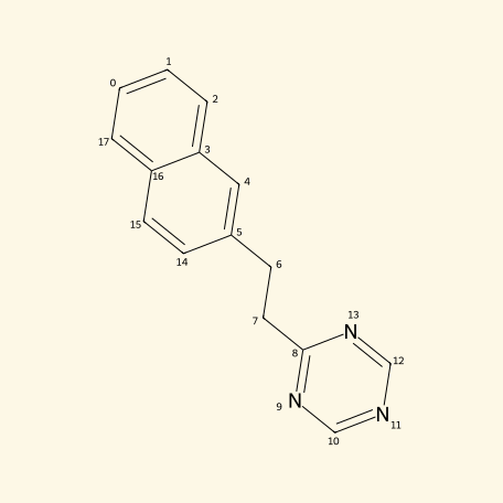 c1ccc2cc(CCc3ncncn3)ccc2c1